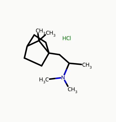 CC(CC12CCC(CC1)C2(C)C)N(C)C.Cl